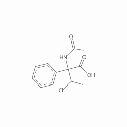 CC(=O)NC(C(=O)O)(c1ccccc1)C(C)Cl